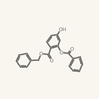 O=C(Oc1cc(O)ccc1C(=O)OCc1ccccc1)c1ccccc1